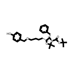 CC(C)(C)OC(=O)N1[C@@H](Cc2ccccc2)[C@@H](CCCCOCc2ccc(O)cc2)OC1(C)C